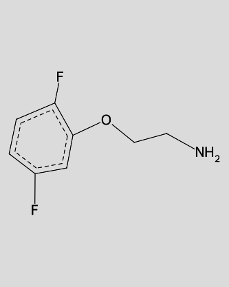 NCCOc1cc(F)ccc1F